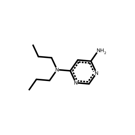 CCCN(CCC)c1cc(N)ncn1